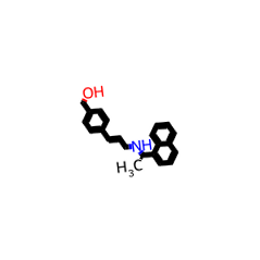 C[C@@H](NC/C=C/c1ccc(CO)cc1)c1cccc2ccccc12